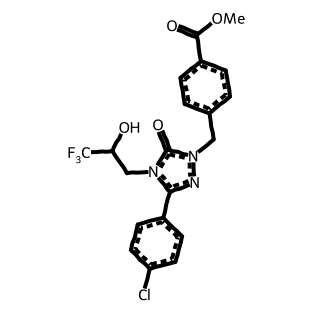 COC(=O)c1ccc(Cn2nc(-c3ccc(Cl)cc3)n(CC(O)C(F)(F)F)c2=O)cc1